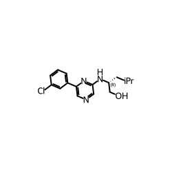 CC(C)C[C@H](CO)Nc1cncc(-c2cccc(Cl)c2)n1